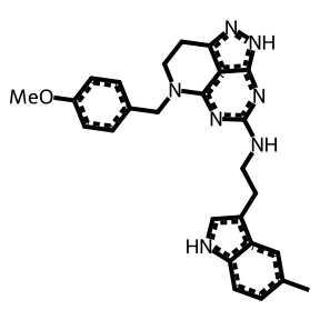 COc1ccc(CN2CCc3n[nH]c4nc(NCCc5c[nH]c6ccc(C)cc56)nc2c34)cc1